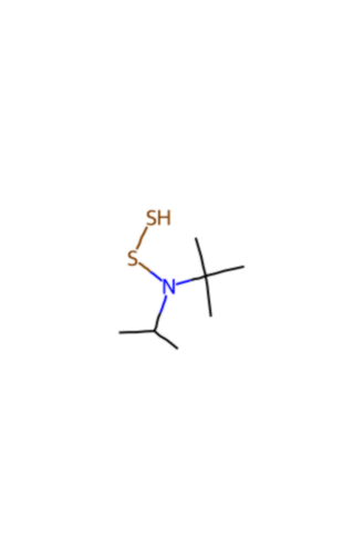 CC(C)N(SS)C(C)(C)C